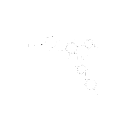 Cc1ccc(-n2nnc(NCc3c(-c4ccc(O[C@H]5CCC[C@H](C(=O)O)C5)c(C)n4)nnn3C)n2)cc1